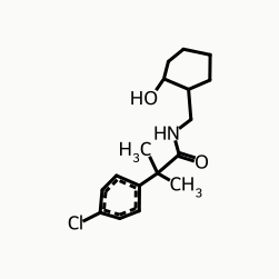 CC(C)(C(=O)NCC1CCCCC1O)c1ccc(Cl)cc1